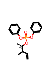 C=CC(C)[C@@H](C)OP(=O)(Oc1ccccc1)Oc1ccccc1